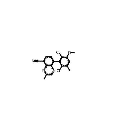 COc1cc(C)c(Cl)c(-c2ccc(C#N)c3nc(C)cnc23)c1Cl